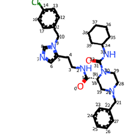 O=C(NCCc1cncn1Cc1ccc(Cl)cc1)[C@H]1CN(Cc2ccccc2)CCN1C(=O)NC1CCCCC1